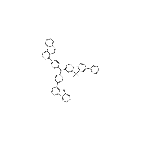 CC1(C)c2cc(-c3ccccc3)ccc2-c2ccc(N(c3ccc(-c4cccc5c4ccc4ccccc45)cc3)c3ccc(-c4cccc5c4oc4ccccc45)cc3)cc21